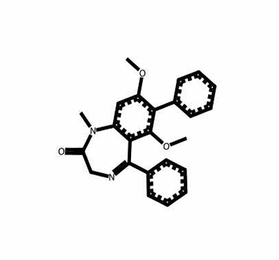 COc1cc2c(c(OC)c1-c1ccccc1)C(c1ccccc1)=NCC(=O)N2C